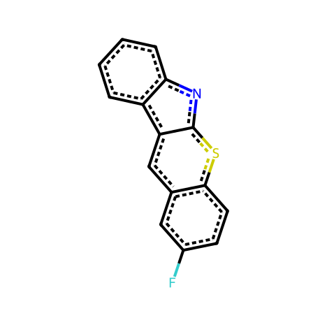 Fc1ccc2sc3nc4ccccc4c-3cc2c1